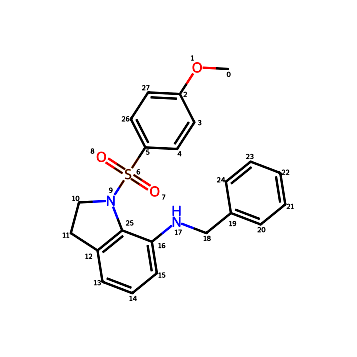 COc1ccc(S(=O)(=O)N2CCc3cccc(NCc4ccccc4)c32)cc1